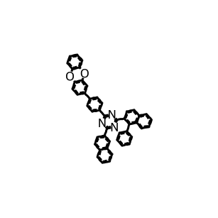 c1ccc(-c2c(-c3nc(-c4ccc(-c5ccc6c(c5)Oc5ccccc5O6)cc4)nc(-c4ccc5ccccc5c4)n3)ccc3ccccc23)cc1